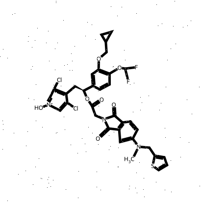 CN(Cc1cccs1)c1ccc2c(c1)C(=O)N(CC(=O)O[C@@H](Cc1c(Cl)c[n+](O)cc1Cl)c1ccc(OC(F)F)c(OCC3CC3)c1)C2=O